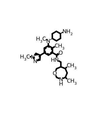 Cc1c(C(=O)NCC2COCNC(C)CC2C)cc(-c2cnn(C)c2)cc1N(C)[C@H]1CC[C@H](N)CC1